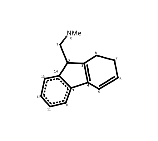 CNCC1C2=C(C=CCC2)c2ccccc21